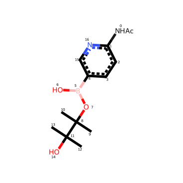 CC(=O)Nc1ccc(B(O)OC(C)(C)C(C)(C)O)cn1